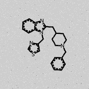 c1ccc(CN2CCC(Cc3nc4ccccc4n3Cc3cscn3)CC2)cc1